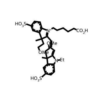 CCN1/C(=C/C=C/C2=[N+](CCCCCC(=O)O)c3ccc(S(=O)(=O)O)cc3C2(C)CCOC)C(C)(CCOC)c2cc(S(=O)(=O)O)ccc21